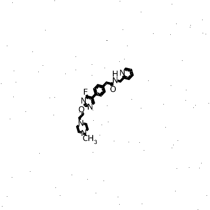 CN1CCN(CCOc2ncc(-c3ccc(CC(=O)NCc4ccccn4)cc3)c(F)n2)CC1